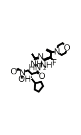 C=C(/C(F)=C(\N=C(\C)N)NNC(=O)[C@H](CC1CCCC1)CN(O)C=O)N1CCOCC1